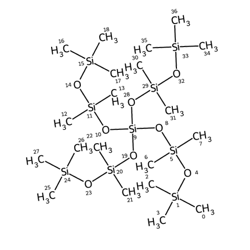 C[Si](C)(C)O[Si](C)(C)O[Si](O[Si](C)(C)O[Si](C)(C)C)(O[Si](C)(C)O[Si](C)(C)C)O[Si](C)(C)O[Si](C)(C)C